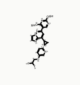 COc1ncc(-c2cc(C3C[C@@H]3c3ccc(OCC(F)F)cn3)c3nccn3n2)c(OC)n1